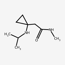 CNC(=O)CC1(NC(C)C)CC1